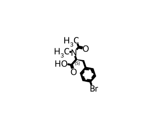 CC(=O)N(C)[C@@H](Cc1ccc(Br)cc1)C(=O)O